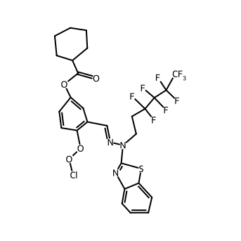 O=C(Oc1ccc(OOCl)c(/C=N/N(CCC(F)(F)C(F)(F)C(F)(F)C(F)(F)F)c2nc3ccccc3s2)c1)C1CCCCC1